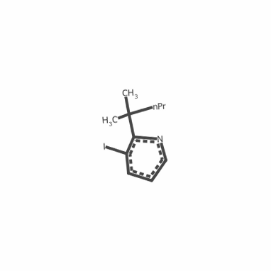 CCCC(C)(C)c1ncccc1I